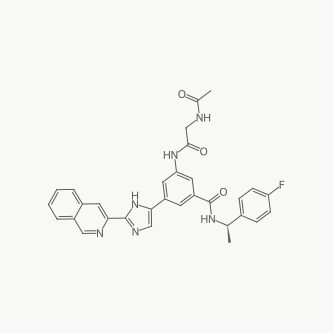 CC(=O)NCC(=O)Nc1cc(C(=O)N[C@H](C)c2ccc(F)cc2)cc(-c2cnc(-c3cc4ccccc4cn3)[nH]2)c1